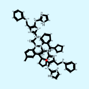 Cc1ccc(N(C(=O)Nc2nc(CSc3ccccc3)c(Sc3ncc[nH]3)s2)N(C(=O)Nc2nc(CSc3ccccc3)c(Sc3ncc[nH]3)s2)c2ccccc2C(=O)C2CCCC2)c(C(=O)C2CCCC2)c1